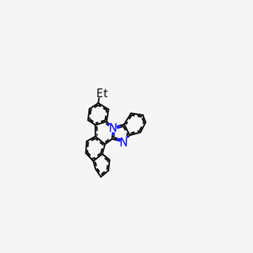 CCc1ccc2c3ccc4ccccc4c3c3nc4ccccc4n3c2c1